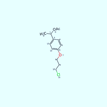 CC(=O)OC(C)c1ccc(OCCCCl)cc1